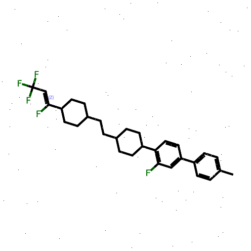 Cc1ccc(-c2ccc(C3CCC(CCC4CCC(/C(F)=C/C(F)(F)F)CC4)CC3)c(F)c2)cc1